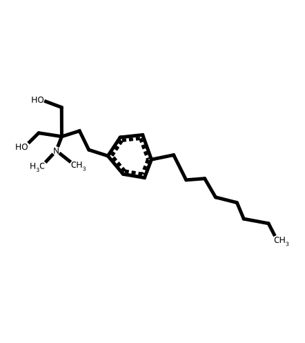 CCCCCCCCc1ccc(CCC(CO)(CO)N(C)C)cc1